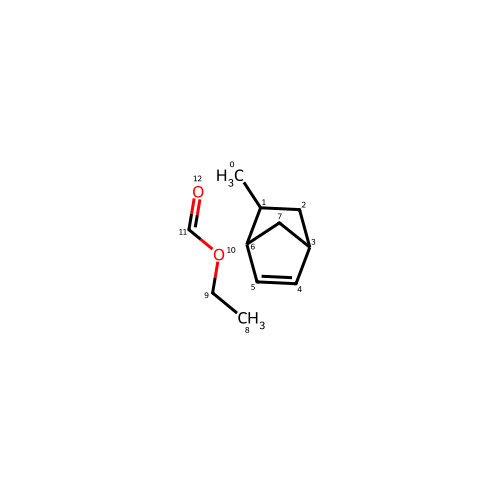 CC1CC2C=CC1C2.CCOC=O